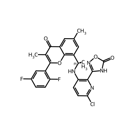 Cc1cc([C@@H](C)Nc2ccc(Cl)nc2-c2noc(=O)[nH]2)c2oc(-c3cc(F)ccc3F)c(C)c(=O)c2c1